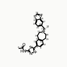 CC(=O)Nc1nnc(-c2ccc3c(c2)CCN([C@@H](C)c2ccc4scnc4c2)CC3)s1